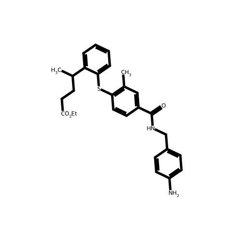 CCOC(=O)CCC(C)c1ccccc1Sc1ccc(C(=O)NCc2ccc(N)cc2)cc1C